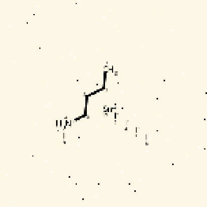 CCCC[NH3+].[I-].[I-].[I-].[I-].[I-].[Sn+4]